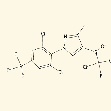 Cc1nn(-c2c(Cl)cc(C(F)(F)F)cc2Cl)cc1[S+]([O-])C(F)(Cl)Cl